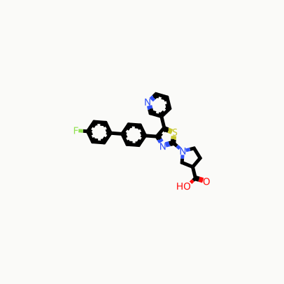 O=C(O)C1CCN(c2nc(-c3ccc(-c4ccc(F)cc4)cc3)c(-c3cccnc3)s2)C1